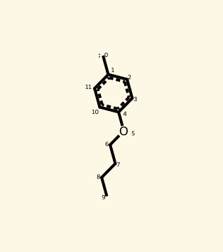 [CH]c1ccc(OCCCC)cc1